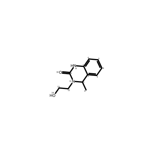 CC1c2ccccc2NC(=O)N1CCO